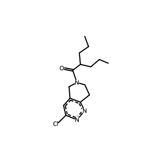 CCCC(CCC)C(=O)N1CCc2nnc(Cl)cc2C1